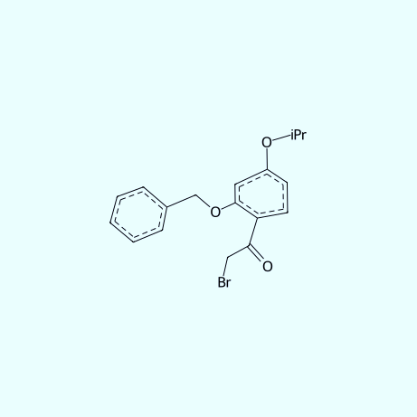 CC(C)Oc1ccc(C(=O)CBr)c(OCc2ccccc2)c1